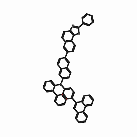 c1ccc(-c2nc3ccc4cc(-c5ccc6cc(N(c7ccc(-c8cc9ccccc9c9ccccc89)cc7)c7ccccc7-c7ccccc7)ccc6c5)ccc4c3o2)cc1